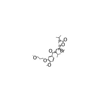 COCCCOc1cc(C(=O)[C@@H](C[C@@H](Br)[C@@H]2C[C@@H](C(C)C)C(=O)O2)C(C)C)ccc1OC